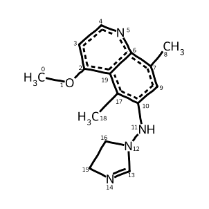 COc1ccnc2c(C)cc(NN3C=NCC3)c(C)c12